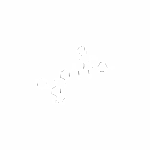 Cn1c(Cn2cccn2)c(C(=O)Nc2ccc(Oc3cc4cn[nH]c4cc3N3CCOCC3)c(F)c2)c(=O)n1-c1ccc(F)cc1